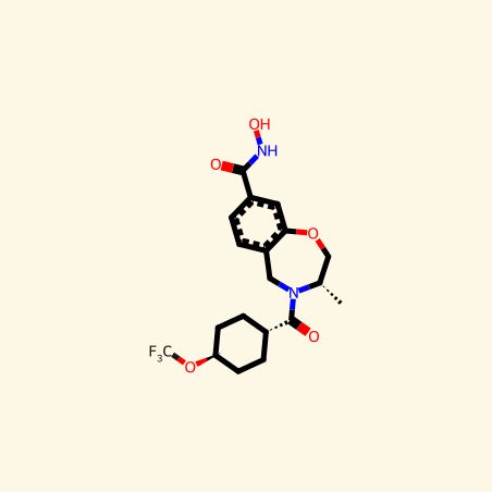 C[C@H]1COc2cc(C(=O)NO)ccc2CN1C(=O)[C@H]1CC[C@H](OC(F)(F)F)CC1